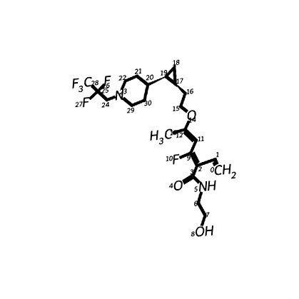 C=C/C(C(=O)NCCO)=C(F)\C=C(/C)OCC[C@@H]1C[C@@H]1C1CCN(CC(F)(F)C(F)(F)F)CC1